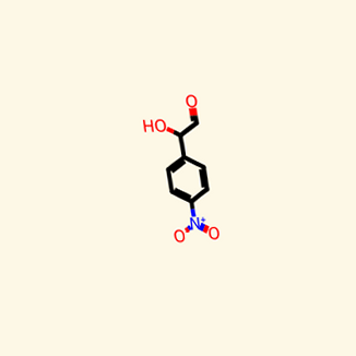 O=CC(O)c1ccc([N+](=O)[O-])cc1